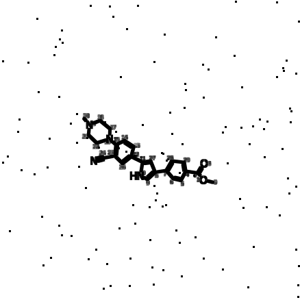 COC(=O)c1ccc(-c2c[nH]c(-c3ccc(N4CCN(C)CC4)c(C#N)c3)c2)cc1